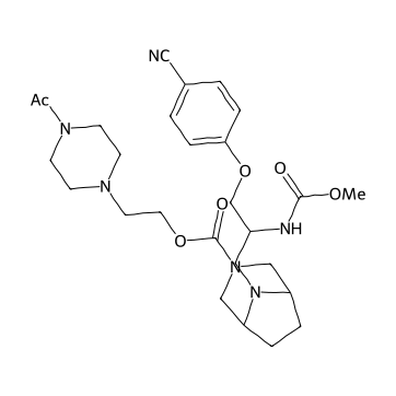 COC(=O)NC(COc1ccc(C#N)cc1)CN1C2CCC1CN(C(=O)OCCN1CCN(C(C)=O)CC1)C2